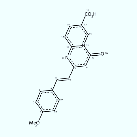 COc1ccc(C=Cc2cc(=O)n3cc(C(=O)O)ccc3n2)cc1